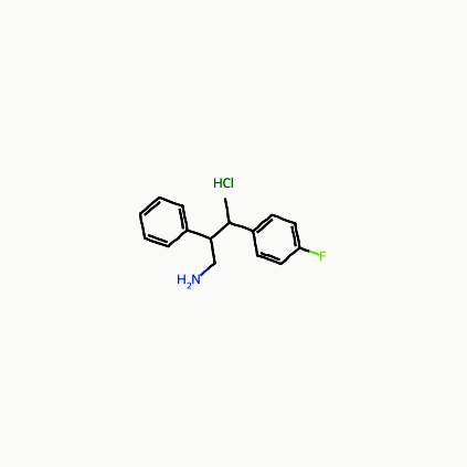 CC(c1ccc(F)cc1)C(CN)c1ccccc1.Cl